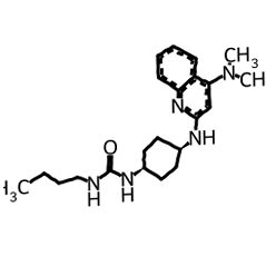 CCCCNC(=O)N[C@H]1CC[C@@H](Nc2cc(N(C)C)c3ccccc3n2)CC1